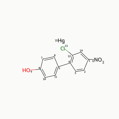 O=[N+]([O-])c1ccc(-c2ccc(O)cc2)c(Cl)c1.[Hg]